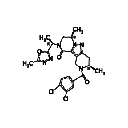 Cc1nnc([C@@H](C)N2C[C@@H](C)n3nc4c(c3C2=O)CN(C(=O)c2ccc(Cl)c(Cl)c2)[C@H](C)C4)o1